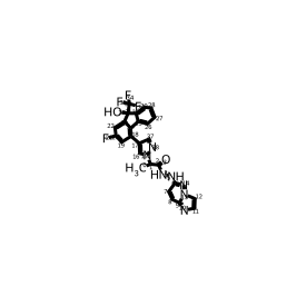 CC(C(=O)NNc1ccc2nccn2n1)n1cc(-c2cc(F)cc3c2-c2ccccc2C3(O)C(F)(F)F)cn1